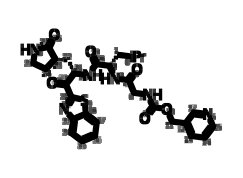 CC(C)C[C@H](NC(=O)CNC(=O)OCc1cccnc1)C(=O)N[C@@H](C[C@@H]1CCNC1=O)C(=O)c1nc2ccccc2s1